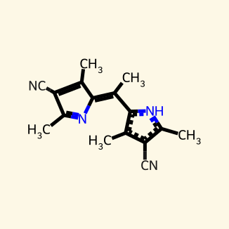 CC1=N/C(=C(/C)c2[nH]c(C)c(C#N)c2C)C(C)=C1C#N